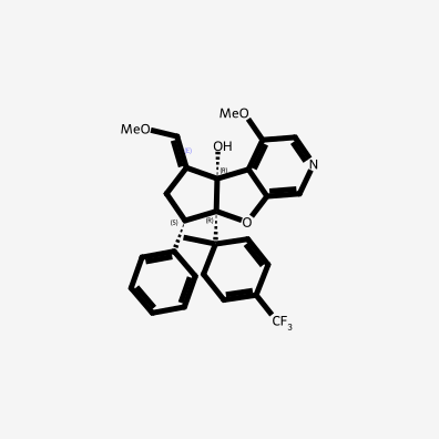 CO/C=C1\C[C@@H](c2ccccc2)[C@]2(C3(C)C=CC(C(F)(F)F)=CC3)Oc3cncc(OC)c3[C@]12O